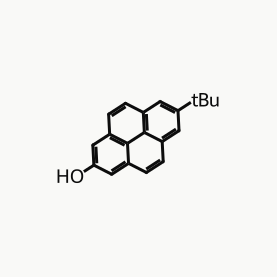 CC(C)(C)c1cc2ccc3cc(O)cc4ccc(c1)c2c34